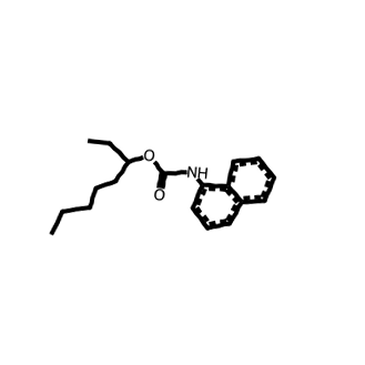 CCCCCC(CC)OC(=O)Nc1cccc2ccccc12